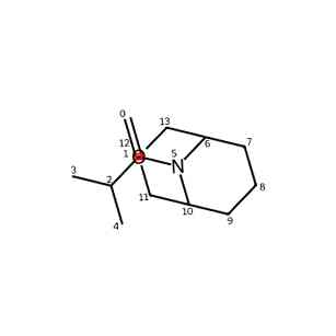 C=C(C(C)C)N1C2CCCC1COC2